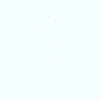 O=C1c2ccc(C3CCN(Cc4cccc(C(F)F)c4)CC3)cc2CN1C1CCCNC1